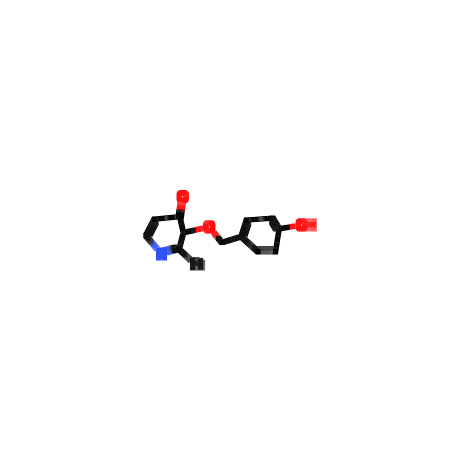 CCC1=NC=CC(=O)C1OCc1ccc(O)cc1